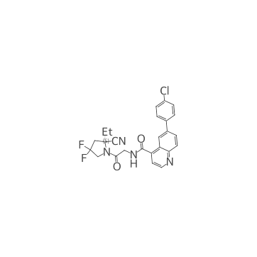 CC[C@@]1(C#N)CC(F)(F)CN1C(=O)CNC(=O)c1ccnc2ccc(-c3ccc(Cl)cc3)cc12